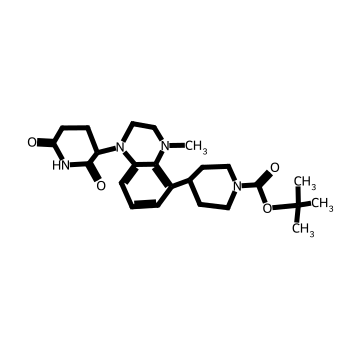 CN1CCN(C2CCC(=O)NC2=O)c2cccc(C3CCN(C(=O)OC(C)(C)C)CC3)c21